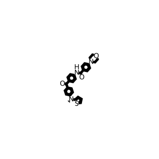 CN(c1ccc(C(=O)c2ccc(NC(=O)c3ccc(N4CCOCC4)cc3)cc2)cc1)c1cccs1